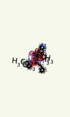 CC(C)CC(NC(=O)OC1(NC(=O)[C@H](N2C(=O)C2Oc2cccc3cnccc23)C(C)(C)S(C)(=O)=O)O[C@@H]1CCCc1ccccc1)c1ccccc1